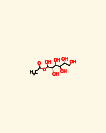 CC(=O)OC(O)[C@@H](O)[C@@H](O)[C@H](O)[C@H](O)CO